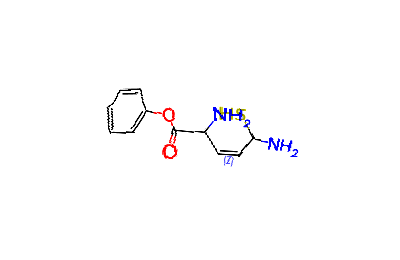 NC(S)/C=C\C(N)C(=O)Oc1ccccc1